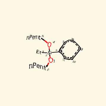 CCCCCO[Si](CC)(OCCCCC)c1ccccc1